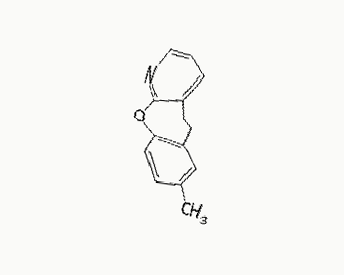 Cc1ccc2c(c1)Cc1cccnc1O2